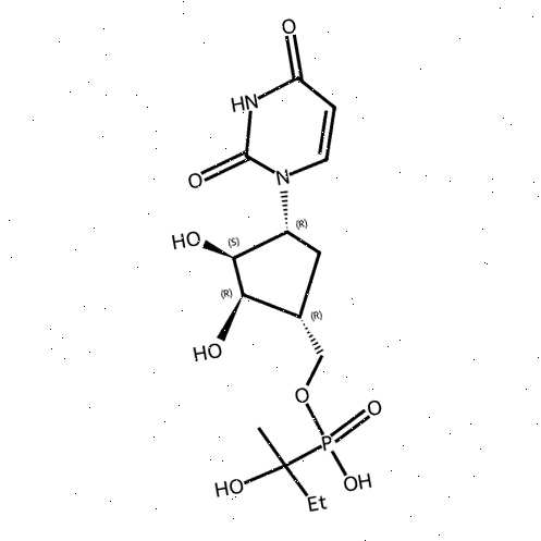 CCC(C)(O)P(=O)(O)OC[C@H]1C[C@@H](n2ccc(=O)[nH]c2=O)[C@H](O)[C@@H]1O